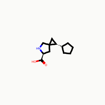 O=C(O)[C@@H]1CC2(CN1)C[C@@H]2C1CCCC1